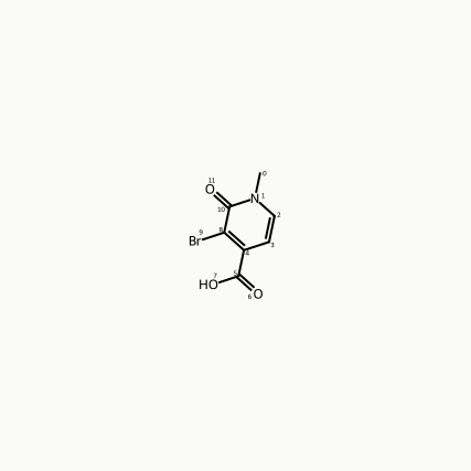 Cn1ccc(C(=O)O)c(Br)c1=O